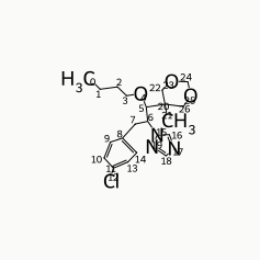 CCCCOC(C(Cc1ccc(Cl)cc1)n1cncn1)C1(C)COCOC1